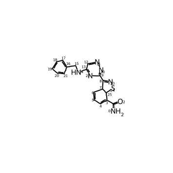 NC(=O)C1=CC=CC2C(c3nncc(NCc4ccccc4)n3)=NSC12